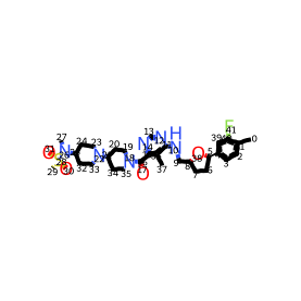 Cc1ccc([C@H]2CCC(CNc3ncnc(C(=O)N4CCC(N5CCC(N(C)S(C)(=O)=O)CC5)CC4)c3C)O2)cc1F